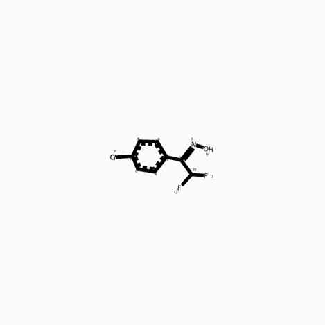 ON=C(c1ccc(Cl)cc1)C(F)F